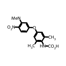 CNc1cc(Oc2cc(C)c(NC(=O)O)c(C)c2)ccc1[N+](=O)[O-]